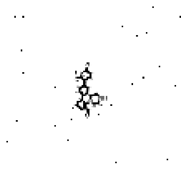 O=Cc1cccc(-c2ccc(C3CCC(=O)NC3=O)cc2)c1N1CCNCC1